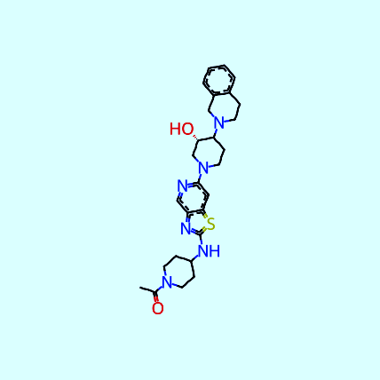 CC(=O)N1CCC(Nc2nc3cnc(N4CCC(N5CCc6ccccc6C5)[C@@H](O)C4)cc3s2)CC1